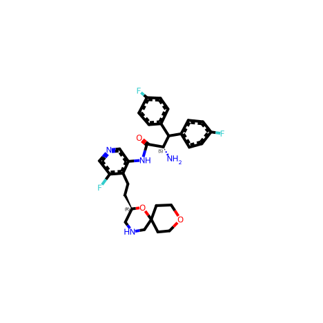 N[C@H](C(=O)Nc1cncc(F)c1CC[C@@H]1CNCC2(CCOCC2)O1)C(c1ccc(F)cc1)c1ccc(F)cc1